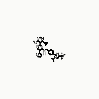 COc1ncnc(C2CC2)c1-c1ncc(-c2ccco2)c(NCc2ccc(-c3nc(C(F)(F)F)cn3C(C)C)cc2)n1